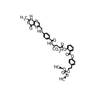 C#COP(=O)(OC#C)OCCc1ccc(OC(=O)c2ccccc2OC(=O)CC[C@H](NC(=O)c2ccc(NCc3cnc4[nH]c(C)nc(=O)c4n3)cc2)C(=O)O)cc1